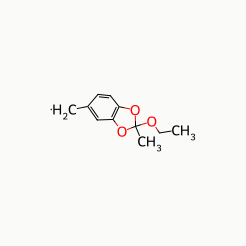 [CH2]c1ccc2c(c1)OC(C)(OCC)O2